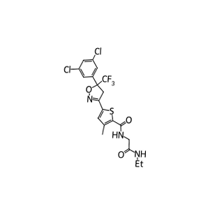 CCNC(=O)CNC(=O)c1sc(C2=NOC(c3cc(Cl)cc(Cl)c3)(C(F)(F)F)C2)cc1C